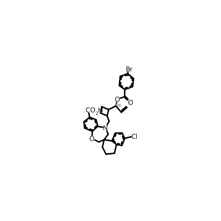 C=C[C@H](OC(=O)c1ccc(Br)cc1)C1CCC1CN1CC2(CCCc3cc(Cl)ccc32)COc2ccc(C(=O)O)cc21